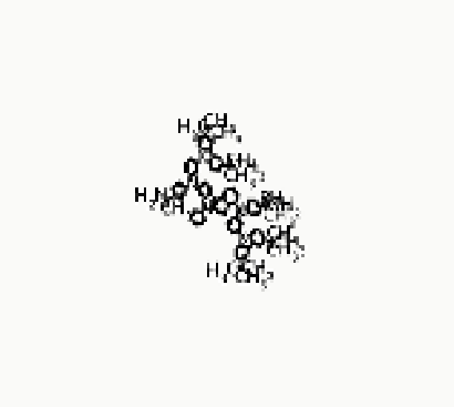 BC(C)(N)c1ccc(N(c2cccc(-n3c4ccc(C(C)(C)C)cc4c4cc(C(C)(C)C)ccc43)c2)c2cccc3c2ccc2c3c3ccc(N(c4ccc(C(C)N)cc4)c4cccc(-n5c6ccc(C(C)(C)C)cc6c6cc(C(C)(C)C)ccc65)c4)cc3n2-c2ccccc2)cc1